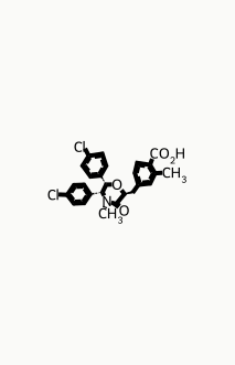 Cc1cc(C[C@@H]2O[C@@H](c3ccc(Cl)cc3)[C@@H](c3ccc(Cl)cc3)N(C)C2=O)ccc1C(=O)O